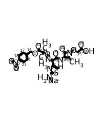 C[C@H]1[C@H](NC(=O)C(=NOC(C)(C)C(=O)OCc2ccc([N+](=O)[O-])cc2)c2csc(N)n2)C(=O)N1OCC(=O)O.[Na]